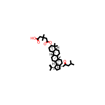 C=C(C)[C@@H]1CC[C@]2(CC(=O)CC(C)C)CC[C@]3(C)[C@H](CC[C@@H]4[C@@]5(C)CC[C@H](OC(=O)CC(C)(C)CC(=O)O)C(C)(C)[C@@H]5CC[C@]43C)[C@@H]12